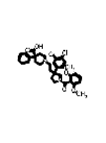 COc1cccc(OC)c1C(=O)N1CCC(CCN2CCC(C(=O)O)(c3ccccc3)CC2)(c2ccc(Cl)c(Cl)c2)C1